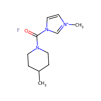 CC1CCN(C(=O)n2cc[n+](C)c2)CC1.[I-]